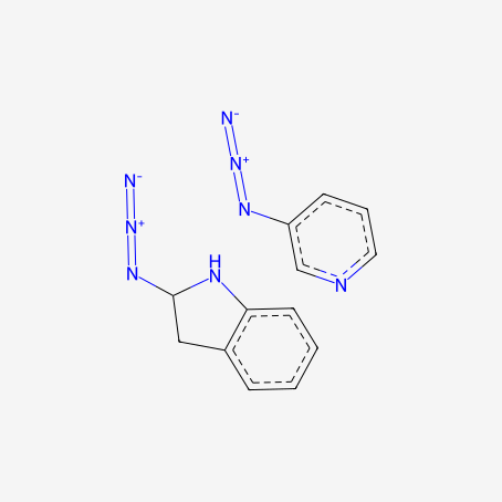 [N-]=[N+]=NC1Cc2ccccc2N1.[N-]=[N+]=Nc1cccnc1